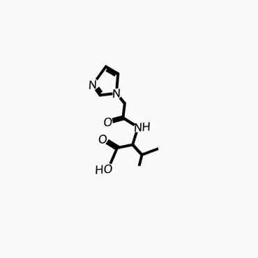 CC(C)C(NC(=O)Cn1ccnc1)C(=O)O